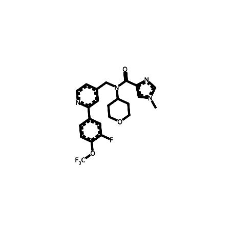 Cn1cnc(C(=O)N(Cc2ccnc(-c3ccc(OC(F)(F)F)c(F)c3)c2)C2CCOCC2)c1